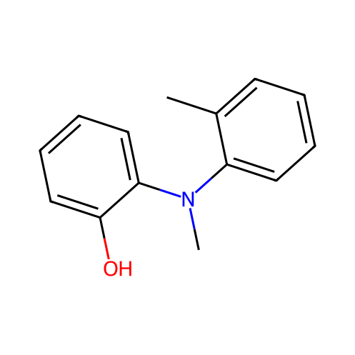 Cc1ccccc1N(C)c1ccccc1O